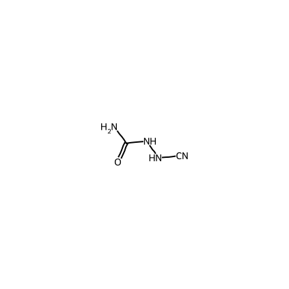 N#CNNC(N)=O